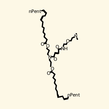 CCCCC/C=C\C/C=C\CCCCCCCC(=O)OCCCN(CCCOC(=O)CCCCCCC/C=C\C/C=C\CCCCC)C(=O)C=CC(=O)NCCOCCN(C)C